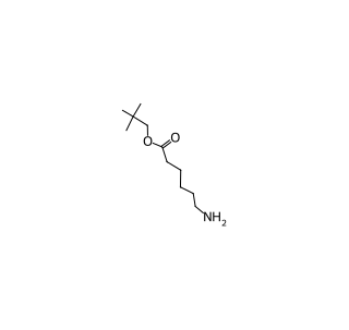 CC(C)(C)COC(=O)CCCCCN